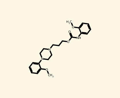 COc1ccccc1NC(=O)OCCCN1CCN(c2ccccc2OC)CC1